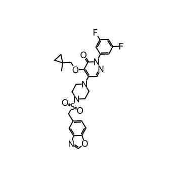 CC1(COc2c(N3CCN(S(=O)(=O)Cc4ccc5ocnc5c4)CC3)cnn(-c3cc(F)cc(F)c3)c2=O)CC1